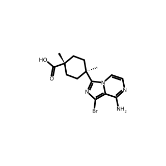 C[C@]1(C(=O)O)CC[C@](C)(c2nc(Br)c3c(N)nccn32)CC1